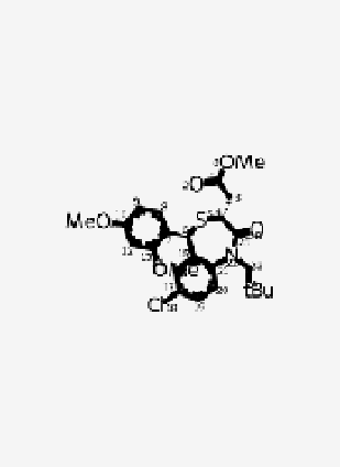 COC(=O)C[C@H]1S[C@H](c2ccc(OC)cc2OC)c2cc(Cl)ccc2N(CC(C)(C)C)C1=O